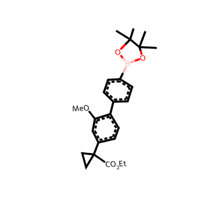 CCOC(=O)C1(c2ccc(-c3ccc(B4OC(C)(C)C(C)(C)O4)cc3)c(OC)c2)CC1